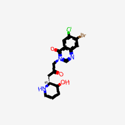 O=C(C[C@H]1NCCCC1O)Cn1cnc2cc(Br)c(Cl)cc2c1=O